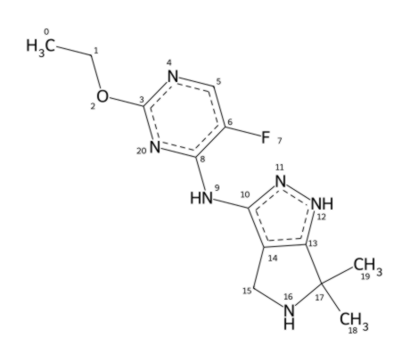 CCOc1ncc(F)c(Nc2n[nH]c3c2CNC3(C)C)n1